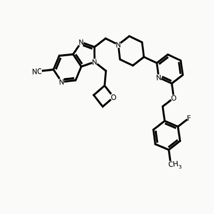 Cc1ccc(COc2cccc(C3CCN(Cc4nc5cc(C#N)ncc5n4CC4CCO4)CC3)n2)c(F)c1